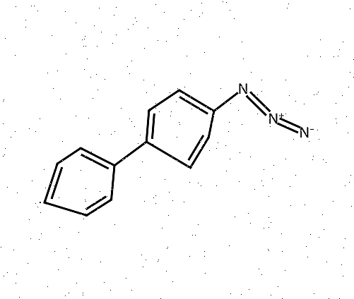 [N-]=[N+]=Nc1ccc(-c2cc[c]cc2)cc1